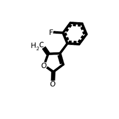 C=C1OC(=O)C=C1c1ccccc1F